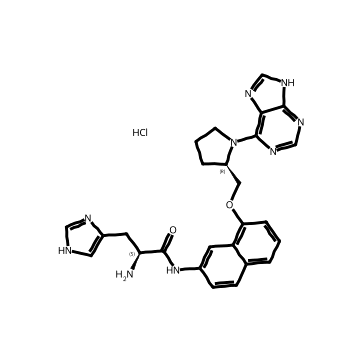 Cl.N[C@@H](Cc1c[nH]cn1)C(=O)Nc1ccc2cccc(OC[C@H]3CCCN3c3ncnc4[nH]cnc34)c2c1